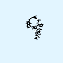 C=C[C@@H]1C[C@]1(NC(=O)[C@@H]1C[C@@H]2CN1C(=O)[C@H](C1CCCC1)NC(=O)OCC(C)(C)CCCCc1ccc3ccnc(c3c1)O2)C(=O)NS(=O)(=O)C1CC1